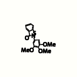 COc1cc(-n2sc3ccccc3c2=O)cc(OC)c1OC